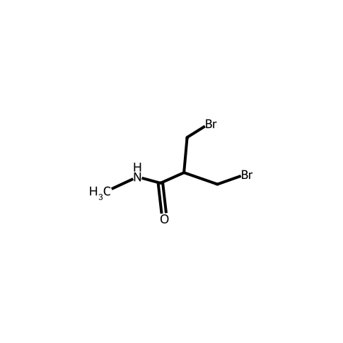 CNC(=O)C(CBr)CBr